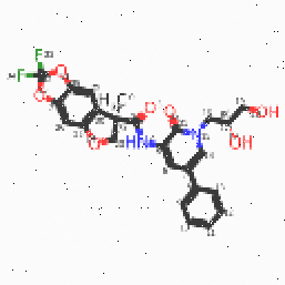 C[C@]1(C(=O)Nc2cc(-c3ccccc3)cn(C[C@@H](O)CO)c2=O)COc2cc3c(cc21)OC(F)(F)O3